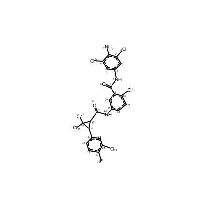 Nc1c(Cl)cc(NC(=O)c2cc(NC(=O)C3C(c4ccc(F)c(Cl)c4)C3(Cl)Cl)ccc2Cl)cc1Cl